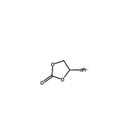 CC[CH]C1COC(=O)O1